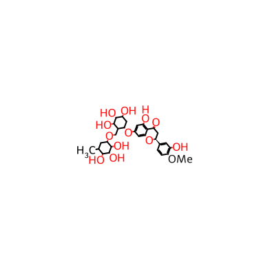 COc1ccc([C@@H]2CC(=O)c3c(O)cc(OC4CC(O)[C@H](O)[C@H](O)C4CO[C@@H]4CC(C)[C@H](O)[C@H](O)C4O)cc3O2)cc1O